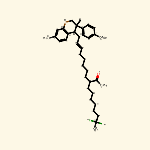 COC(=O)C(CCCCCC=CCC1c2ccc(OC)cc2SCC1(C)c1ccc(OC)cc1)CCCCCCC(F)(F)C(F)(F)F